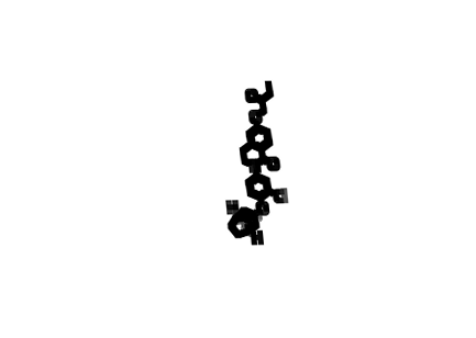 CCC(=O)COc1ccc2c(c1)CCN(c1ccc(O[C@H]3C[C@H]4CC[C@@H](C3)N4C)c(Cl)c1)C2=O